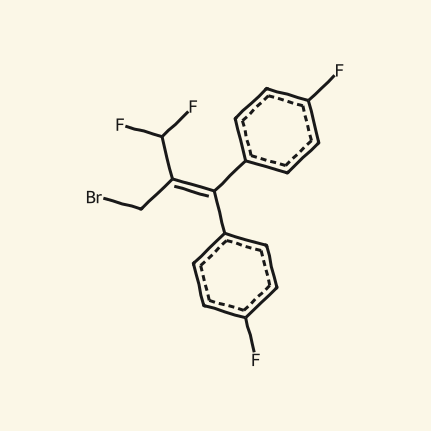 Fc1ccc(C(=C(CBr)C(F)F)c2ccc(F)cc2)cc1